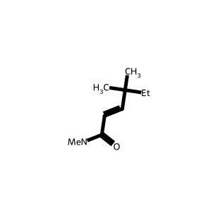 CCC(C)(C)/C=C/C(=O)NC